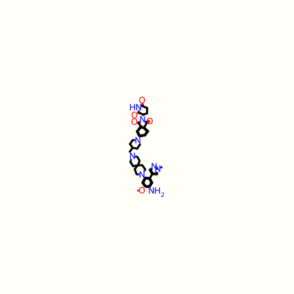 COc1cc(N2CCC3(CCN(CC4CCN(c5ccc6c(c5)C(=O)N(C5CCC(=O)NC5=O)C6=O)CC4)CC3)CC2)c(-c2cnn(C)c2)cc1N